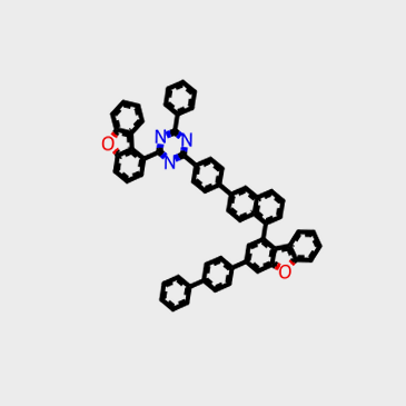 c1ccc(-c2ccc(-c3cc(-c4cccc5cc(-c6ccc(-c7nc(-c8ccccc8)nc(-c8cccc9oc%10ccccc%10c89)n7)cc6)ccc45)c4c(c3)oc3ccccc34)cc2)cc1